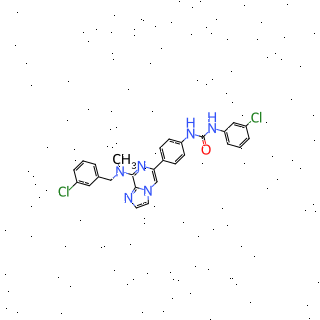 CN(Cc1cccc(Cl)c1)c1nc(-c2ccc(NC(=O)Nc3cccc(Cl)c3)cc2)cn2ccnc12